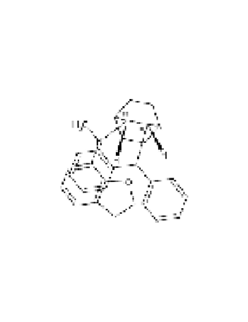 CN(c1cccc2c1OCC2)[C@@H]1C2CCN(CC2)[C@@H]1C(c1ccccc1)c1ccccc1